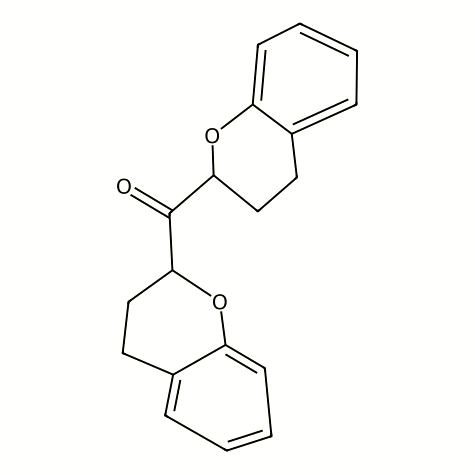 O=C(C1CCc2ccccc2O1)C1CCc2ccccc2O1